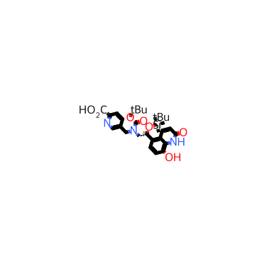 CC(C)(C)OC(=O)N(Cc1ccc(C(=O)O)nc1)C[C@H](O[Si](C)(C)C(C)(C)C)c1ccc(O)c2[nH]c(=O)ccc12